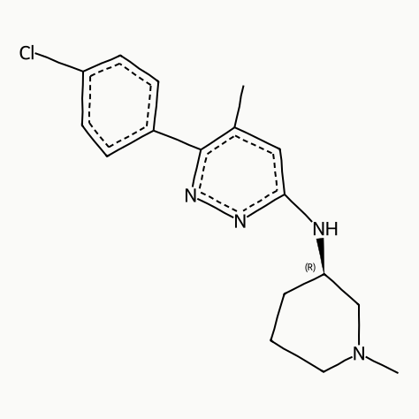 Cc1cc(N[C@@H]2CCCN(C)C2)nnc1-c1ccc(Cl)cc1